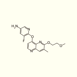 COCCOc1nc2c(Oc3ncc(N)cc3F)ccnc2cc1C